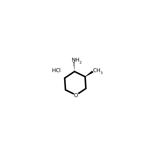 C[C@H]1COCC[C@@H]1N.Cl